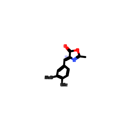 COc1cc(/C=C2\N=C(C)OC2=O)ccc1OC(C)=O